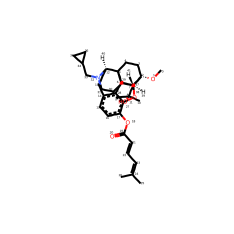 CO[C@@]12CCC3(C[C@@H]1C(C)(C)O)[C@H]1Cc4ccc(OC(=O)/C=C/C=C(C)C)c5c4[C@@]3(CCN1CC1CC1)[C@H]2O5